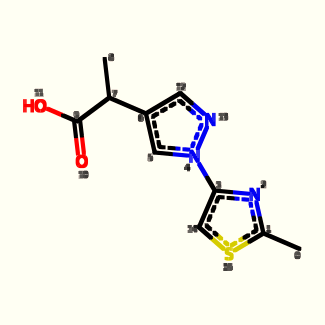 Cc1nc(-n2cc(C(C)C(=O)O)cn2)cs1